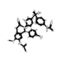 COc1cc2c(cc1OC(C)C)[C@H](c1ccc(Cl)cc1)N(c1ccc(C(C)(O)c3ccc(NC(C)=O)cc3)cn1)C(=O)C2